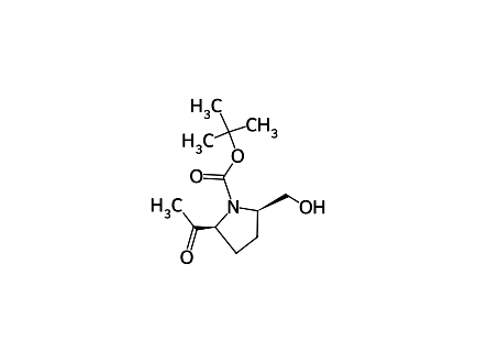 CC(=O)[C@@H]1CC[C@H](CO)N1C(=O)OC(C)(C)C